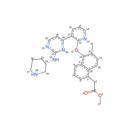 COC(=O)Cc1cccc2c(Oc3ncccc3-c3ccnc(N[C@H]4CCCNC4)n3)c(C)ccc12